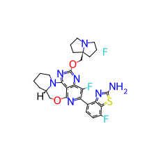 Nc1nc2c(-c3nc4c5c(nc(OC[C@@]67CCCN6C[C@H](F)C7)nc5c3F)N3CCCC[C@H]3CO4)ccc(F)c2s1